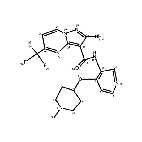 CN1CCC(Oc2ccncc2NC(=O)c2c(N)nn3ccc(C(F)(F)F)nc23)CC1